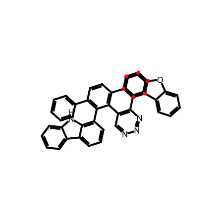 c1ccc(-c2ccc(-c3ccccc3)c(-c3cccc4c3[nH]c3ccccc34)c2-c2cnnnc2-c2cccc3oc4ccccc4c23)cc1